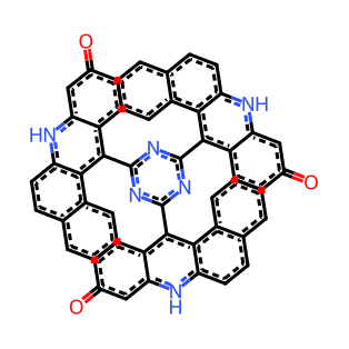 O=c1ccc2c(-c3nc(-c4c5ccc(=O)cc-5[nH]c5ccc6ccccc6c45)nc(-c4c5ccc(=O)cc-5[nH]c5ccc6ccccc6c45)n3)c3c(ccc4ccccc43)[nH]c-2c1